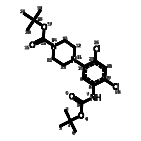 CC(C)(C)OC(=O)Nc1cc(N2CCN(C(=O)OC(C)(C)C)CC2)c(Cl)cc1Cl